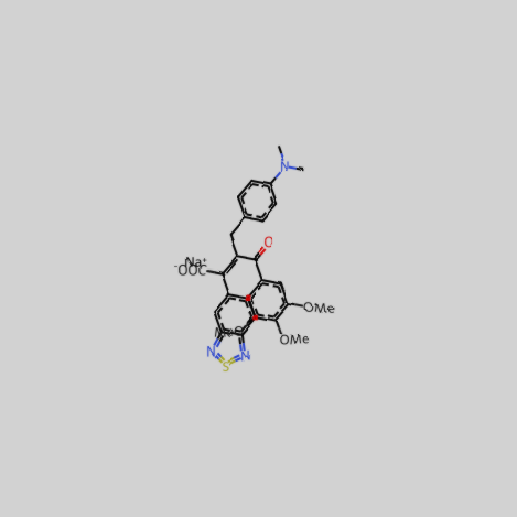 COc1cc(C(=O)/C(Cc2ccc(N(C)C)cc2)=C(/C(=O)[O-])c2ccc3nsnc3c2)cc(OC)c1OC.[Na+]